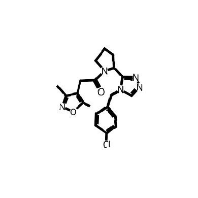 Cc1noc(C)c1CC(=O)N1CCCC1c1nncn1Cc1ccc(Cl)cc1